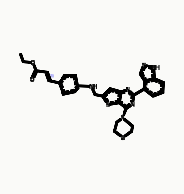 CCOC(=O)/C=C/c1ccc(NCc2cc3nc(-c4cccc5[nH]ncc45)nc(N4CCOCC4)c3s2)cc1